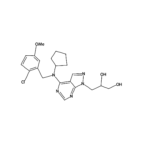 COc1ccc(Cl)c(CN(c2ncnc3c2cnn3CC(O)CO)C2CCCC2)c1